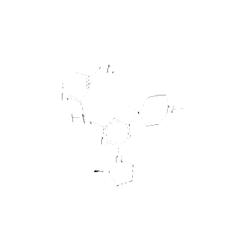 C/N=C(\C=C(/C)C#N)Nc1cc(C2(C)CCN(C)CC2)cc(N2CCC[C@H]2C)n1